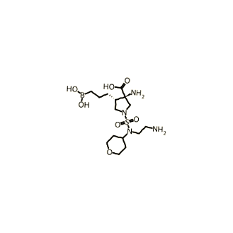 NCCN(C1CCOCC1)S(=O)(=O)N1C[C@H](CCCB(O)O)[C@](N)(C(=O)O)C1